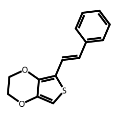 C(=Cc1scc2c1OCCO2)c1ccccc1